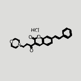 Cl.O=C(CCN1CCOCC1)c1cc2ccc(C=Cc3ccccc3)cc2oc1=O